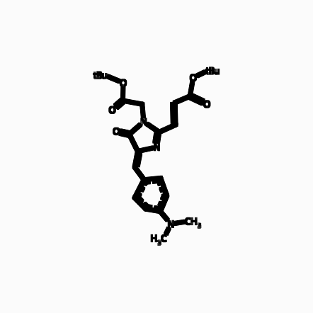 CN(C)c1ccc(/C=C2N=C(/C=C/C(=O)OC(C)(C)C)N(CC(=O)OC(C)(C)C)C\2=O)cc1